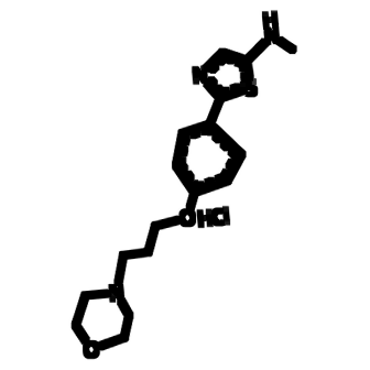 CNc1cnc(-c2ccc(OCCCN3CCOCC3)cc2)s1.Cl